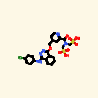 O=C(c1cc(COc2nnc(Nc3ccc(Cl)cc3)c3ccccc23)ccn1)N(CS(=O)(=O)O)CS(=O)(=O)O